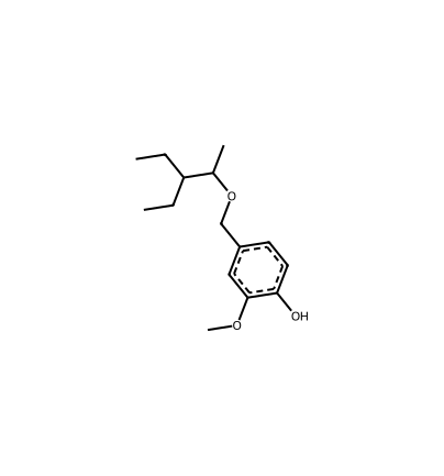 CCC(CC)C(C)OCc1ccc(O)c(OC)c1